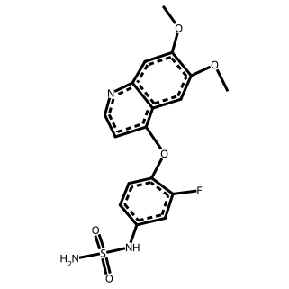 COc1cc2nccc(Oc3ccc(NS(N)(=O)=O)cc3F)c2cc1OC